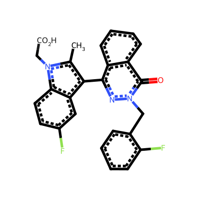 Cc1c(-c2nn(Cc3ccccc3F)c(=O)c3ccccc23)c2cc(F)ccc2n1CC(=O)O